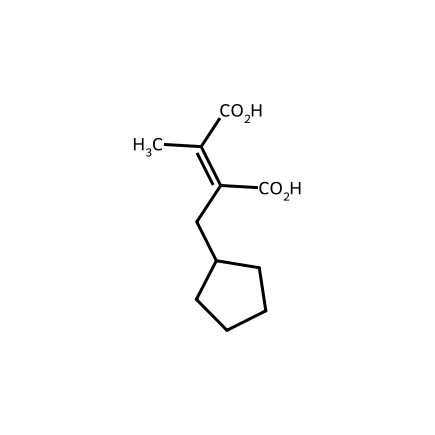 C/C(C(=O)O)=C(\CC1CCCC1)C(=O)O